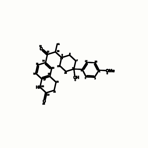 COc1ccc(C2(O)CCN(C(C)C(=O)c3ccc4c(c3)CCC(=O)N4)CC2)cc1